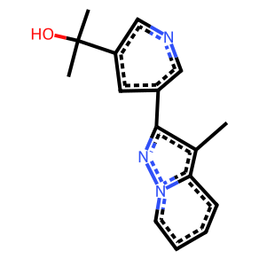 Cc1c(-c2cncc(C(C)(C)O)c2)nn2ccccc12